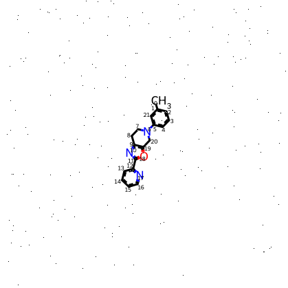 Cc1cccc(N2CCc3nc(-c4ccccn4)oc3C2)c1